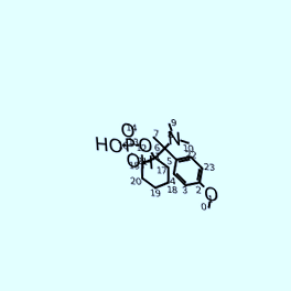 COc1ccc(C(C)(N(C)C)C2(OP(=O)(O)O)CCCCC2)cc1